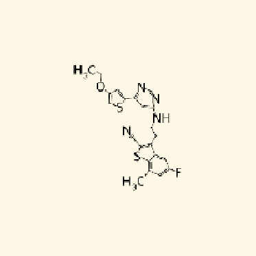 CCOc1csc(-c2cc(NCCc3c(C#N)sc4c(C)cc(F)cc34)ncn2)c1